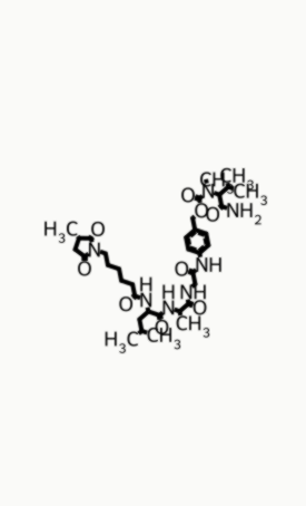 CC(C)CC(NC(=O)CCCCCN1C(=O)CC(C)C1=O)C(=O)NC(C)C(=O)NCC(=O)Nc1ccc(COC(=O)N(C)C(C(N)=O)C(C)C)cc1